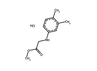 COC(=O)CNc1ccc(C)c(C)c1.Cl